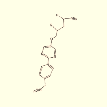 CCCCCCCCCCCc1ccc(-c2ncc(OCC(F)CC(F)CCCC)cn2)cc1